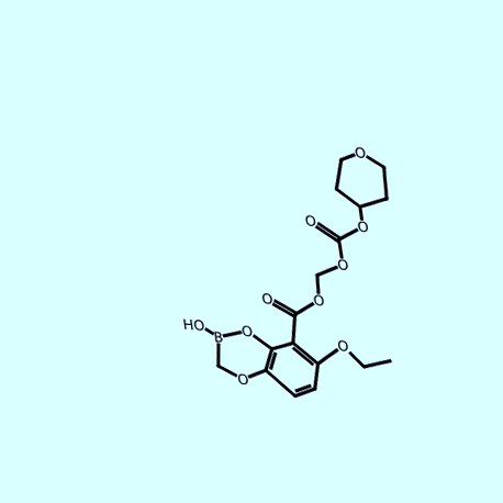 CCOc1ccc2c(c1C(=O)OCOC(=O)OC1CCOCC1)OB(O)CO2